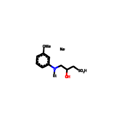 CCN(CC(O)CS(=O)(=O)O)c1cccc(OC)c1.[Na]